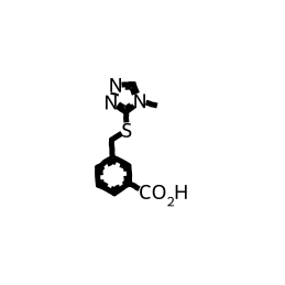 Cn1cnnc1SCc1cccc(C(=O)O)c1